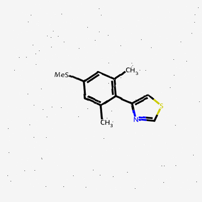 CSc1cc(C)c(-c2cscn2)c(C)c1